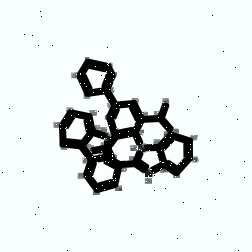 CC(C)c1cc(-c2ccccc2)cc(C(C)C)c1-n1c(-c2cccc3c2sc2ccccc23)nc2ccccc21